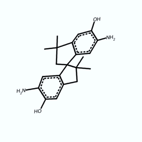 CC1(C)CC2(c3cc(N)c(O)cc3CC2(C)C)c2cc(N)c(O)cc21